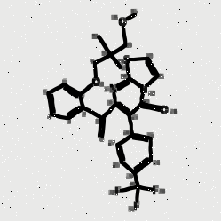 C=C(c1ccccc1OCC(C)(C)COC)c1nc2sccn2c(=O)c1-c1ccc(C(F)(F)F)cc1